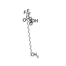 CCCCCCCCCCCCCCCCC(C(=O)OCC(F)(F)F)S(=O)(=O)O